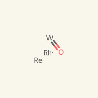 [O]=[W].[Re].[Rh]